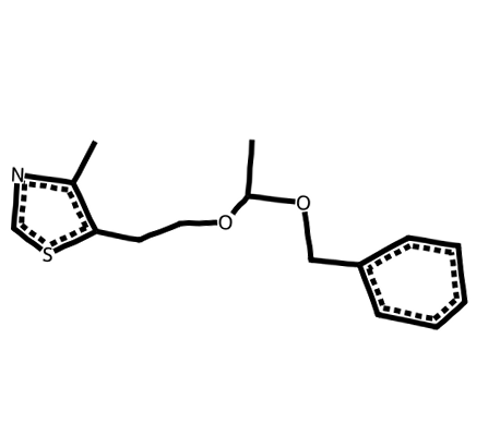 Cc1ncsc1CCOC(C)OCc1ccccc1